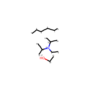 CCCCCC.CCN(C(C)C)C(C)C.CCO